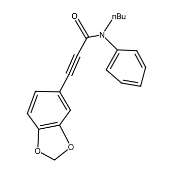 CCCCN(C(=O)C#Cc1ccc2c(c1)OCO2)c1ccccc1